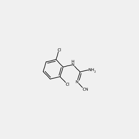 N#CN=C(N)Nc1c(Cl)cccc1Cl